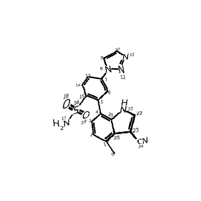 Cc1ccc(-c2cc(-n3ccnn3)ccc2S(N)(=O)=O)c2[nH]cc(C#N)c12